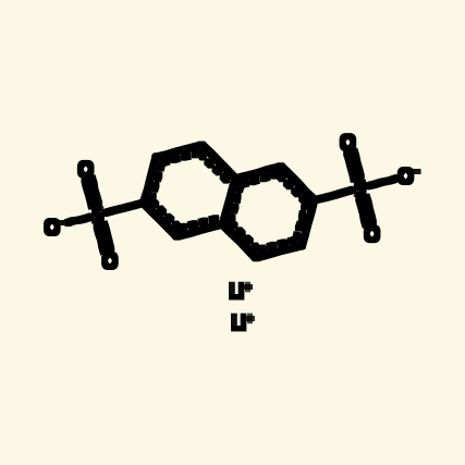 O=S(=O)([O-])c1ccc2cc(S(=O)(=O)[O-])ccc2c1.[Li+].[Li+]